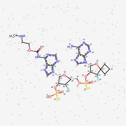 CNCCOC(=O)Nc1ncnc2c1ncn2[C@@H]1O[C@H](COP(=O)(S)O[C@H]2[C@H](n3cnc4c(N)ncnc43)OC3(CCC3)[C@H]2F)[C@@H](F)[C@H]1OP(=O)(O)S